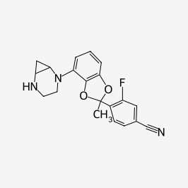 CC1(c2ccc(C#N)cc2F)Oc2cccc(N3CCNC4CC43)c2O1